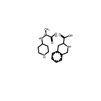 C[C@H](NC1CCNCC1)C(=O)O.O=C(O)C1Cc2ccccc2CN1